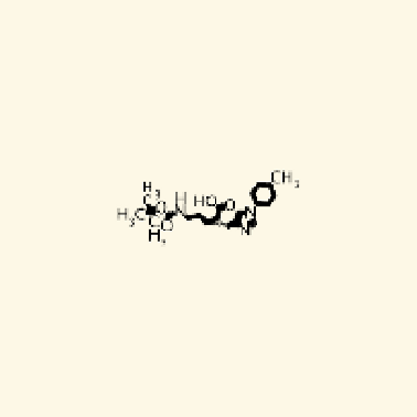 CC1CCC(n2cnc(C[C@H](CCCNC(=O)OC(C)(C)C)C(=O)O)c2)CC1